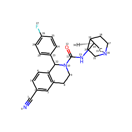 N#Cc1ccc2c(c1)CCN(C(=O)N[C@@H]1CN3CCC1CC3)C2c1ccc(F)cc1